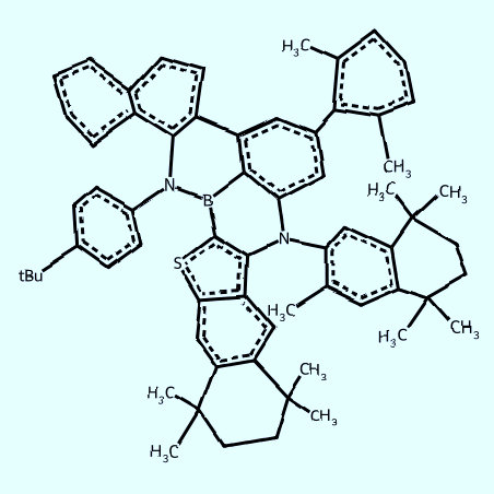 Cc1cc2c(cc1N1c3cc(-c4c(C)cccc4C)cc4c3B(c3sc5cc6c(cc5c31)C(C)(C)CCC6(C)C)N(c1ccc(C(C)(C)C)cc1)c1c-4ccc3ccccc13)C(C)(C)CCC2(C)C